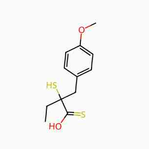 CCC(S)(Cc1ccc(OC)cc1)C(O)=S